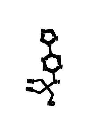 O=NCC(CN=O)(CN=O)Nc1nnc(-n2cncn2)nn1